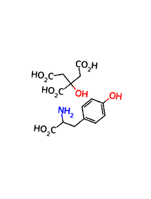 NC(Cc1ccc(O)cc1)C(=O)O.O=C(O)CC(O)(CC(=O)O)C(=O)O